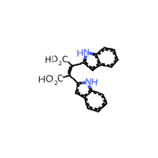 O=C(O)C(=C(C(=O)O)c1cc2ccccc2[nH]1)c1cc2ccccc2[nH]1